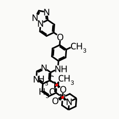 Cc1cc(Nc2ncnc3ccc(N4CC5CC(C4)N5C(=O)OC(C)(C)C)nc23)ccc1Oc1ccn2ncnc2c1